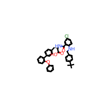 CC(C)(C)c1ccc(CNc2ccc(Cl)cc2C(=O)N[C@@H](Cc2ccc(-c3ccccc3Oc3ccccc3)cc2)C(=O)O)cc1